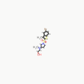 Cc1c(S(=O)(=O)N2CC[C@@H](N(C)CCO)C2)sc2ccc(Br)cc12